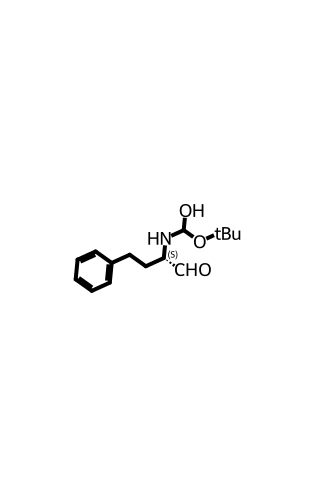 CC(C)(C)OC(O)N[C@H](C=O)CCc1ccccc1